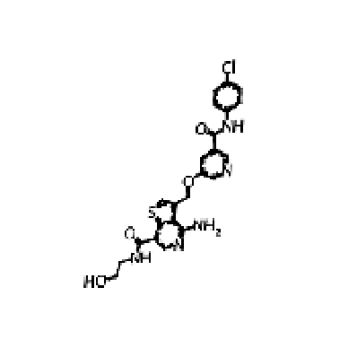 Nc1ncc(C(=O)NCCO)c2scc(COc3cncc(C(=O)Nc4ccc(Cl)cc4)c3)c12